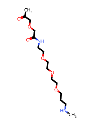 CNCCCOCCOCCOCCNC(=O)COCC(C)=O